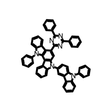 c1ccc(-c2nc(-c3ccccc3)nc(-c3cc4c(c5ccccc5n4-c4ccc5c(c4)c4ccccc4n5-c4ccccc4)c4c3c3ccccc3n4-c3ccccc3)n2)cc1